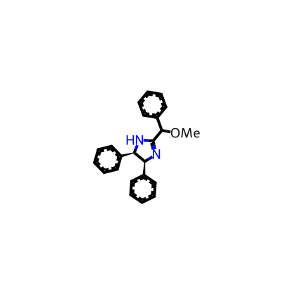 COC(C1=N[C@@H](c2ccccc2)[C@@H](c2ccccc2)N1)c1ccccc1